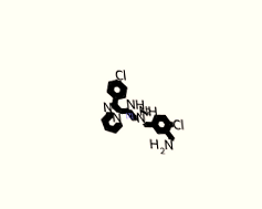 NCc1cc(CN(N)/C=C(\N)c2c(-c3ccc(Cl)cc3)nc3ccccn23)ccc1Cl